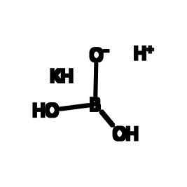 [H+].[KH].[O-]B(O)O